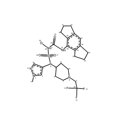 Cn1cc(N(C2CCN(CC(F)(F)F)CC2)S(=O)(=O)[NH+]([O-])C(=O)Nc2c3c(cc4c2CCC4)CCC3)cn1